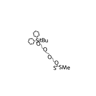 C[SH2]C(=S)OCCOCCOCCO[Si](c1ccccc1)(c1ccccc1)C(C)(C)C